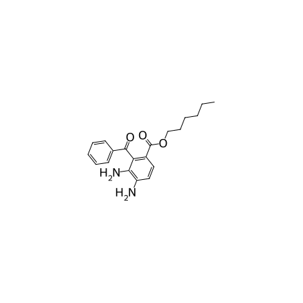 CCCCCCOC(=O)c1ccc(N)c(N)c1C(=O)c1ccccc1